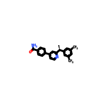 C[C@H](c1cc(C(F)(F)F)cc(C(F)(F)F)c1)c1cc(-c2ccc(C(N)=O)cc2)ccn1